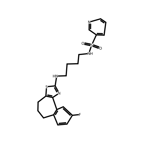 O=S(=O)(NCCCCNc1nc2c(s1)CCCc1ccc(F)cc1-2)c1cccnc1